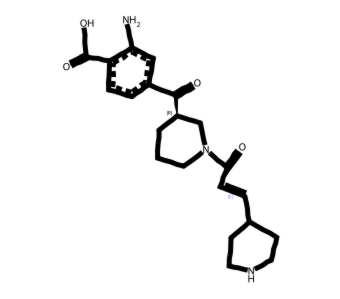 Nc1cc(C(=O)[C@@H]2CCCN(C(=O)/C=C/C3CCNCC3)C2)ccc1C(=O)O